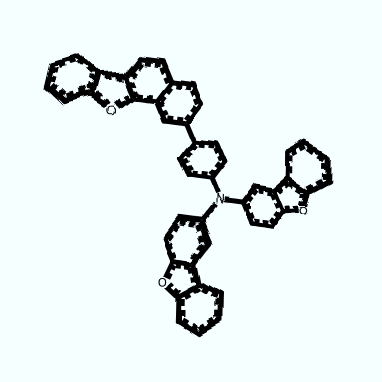 c1ccc2c(c1)oc1ccc(N(c3ccc(-c4ccc5ccc6c7ccccc7oc6c5c4)cc3)c3ccc4oc5ccccc5c4c3)cc12